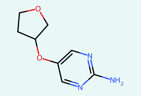 Nc1ncc(OC2CCOC2)cn1